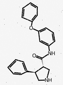 O=C(Nc1cccc(Oc2ccccc2)c1)[C@@H]1CNC[C@H]1c1ccccc1